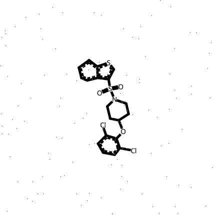 O=S(=O)(c1csc2ccccc12)N1CCC(Oc2c(Cl)cccc2Cl)CC1